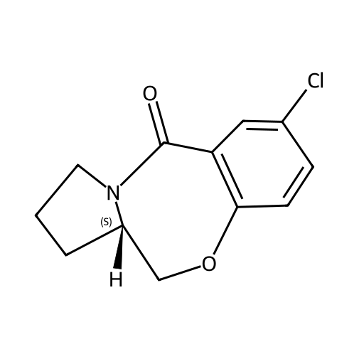 O=C1c2cc(Cl)ccc2OC[C@@H]2CCCN12